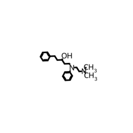 CN(C)CCN(CCC(O)CCc1ccccc1)c1ccccc1